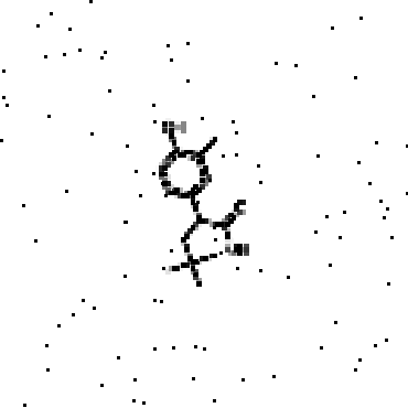 Cc1cc(C(CC(C)(C)C)C(=O)O)ccc1O